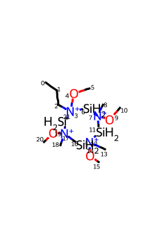 CCC[N+]1(OC)[SiH2][N+](C)(OC)[SiH2][N+](C)(OC)[SiH2][N+](C)(OC)[SiH2]1